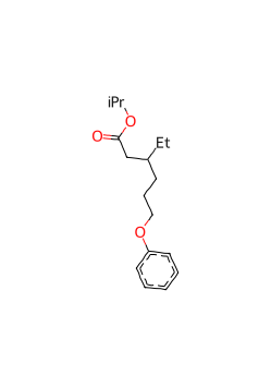 CCC(CCCOc1ccccc1)CC(=O)OC(C)C